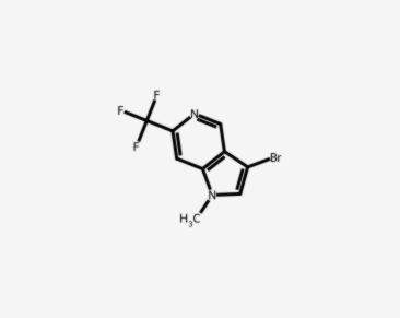 Cn1cc(Br)c2cnc(C(F)(F)F)cc21